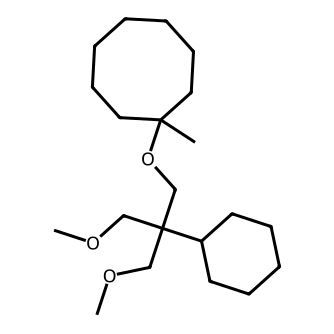 COCC(COC)(COC1(C)CCCCCCC1)C1CCCCC1